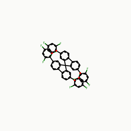 Fc1cc(F)c(-c2ccc3c(c2)C2(c4cc(-c5c(F)cc(F)cc5F)ccc4-3)c3cc(-c4c(F)cc(F)cc4F)ccc3-c3ccc(-c4c(F)cc(F)cc4F)cc32)c(F)c1